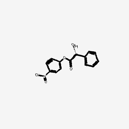 O=C(Oc1ccc([N+](=O)[O-])cc1)[C@H](O)c1ccccc1